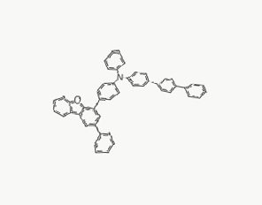 c1ccc(-c2ccc(-c3ccc(N(c4ccccc4)c4ccc(-c5cc(-c6ccccc6)cc6c5oc5ccccc56)cc4)cc3)cc2)cc1